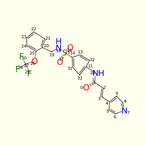 O=C(/C=C/c1ccncc1)Nc1ccc(S(=O)(=O)NCc2ccccc2OC(F)(F)F)cc1